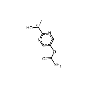 C[C@@H](O)c1ncc(OC(N)=O)cn1